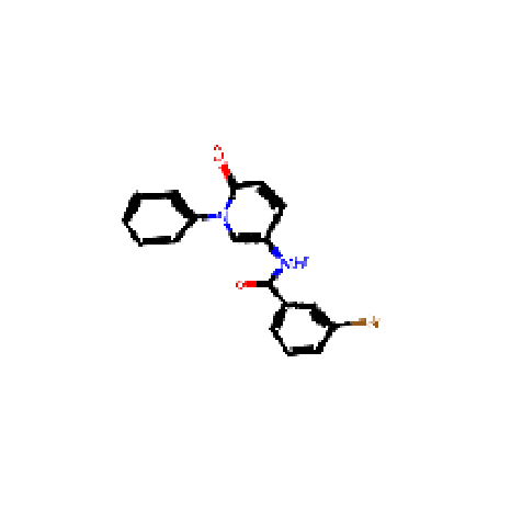 O=C(Nc1ccc(=O)n(-c2ccccc2)c1)c1cccc(Br)c1